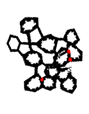 c1ccc(-c2cc3c(cc2N(c2ccccc2)c2ccccc2)C2(c4ccccc4-c4cc(-c5ccccc5)c(N(c5ccccc5)c5cccc6c5sc5ccccc56)cc42)C2CCCCC32)cc1